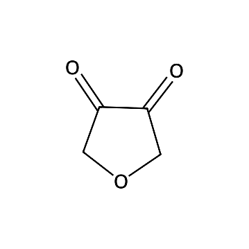 O=C1COCC1=O